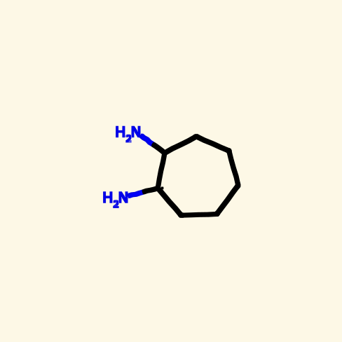 N[C]1CCCCCC1N